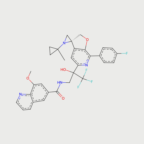 COc1cc(C(=O)NCC(O)(c2cc3c(c(-c4ccc(F)cc4)n2)OC[C@]32CN2C2(C)CC2)C(F)(F)F)cc2cccnc12